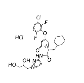 Cl.O=C(Nc1ccn(C[C@@H](O)CO)n1)[C@H](CC1CCCCC1)N1CC(Oc2c(F)ccc(Cl)c2F)=CC1=O